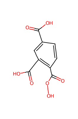 O=C(O)c1ccc(C(=O)OO)c(C(=O)O)c1